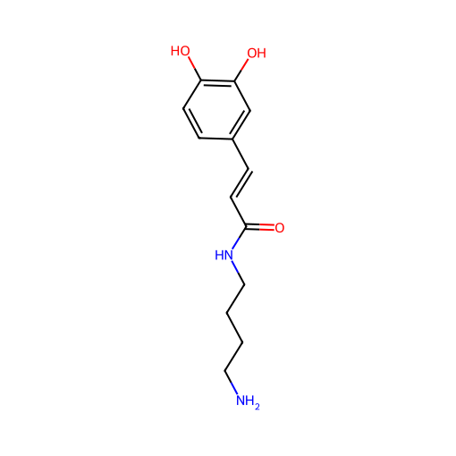 NCCCCNC(=O)C=Cc1ccc(O)c(O)c1